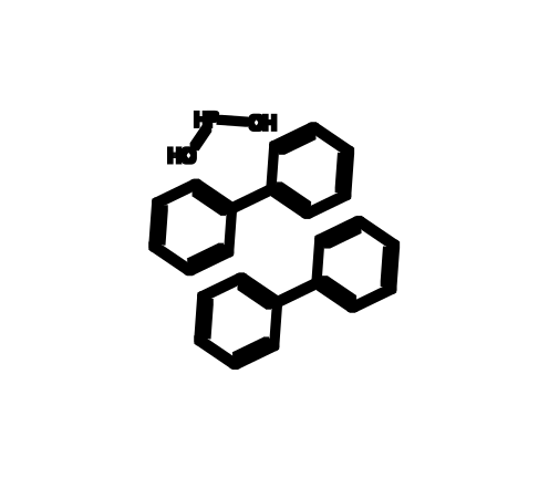 OPO.c1ccc(-c2ccccc2)cc1.c1ccc(-c2ccccc2)cc1